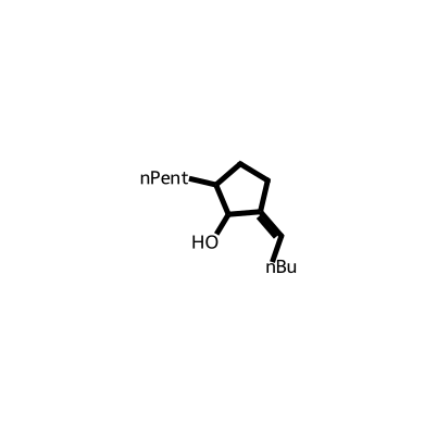 CCCC/C=C1/CCC(CCCCC)C1O